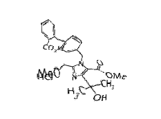 COCc1nc(C(C)(C)O)c(C(=O)OC)n1Cc1ccc(-c2ccccc2C(=O)O)cc1.Cl